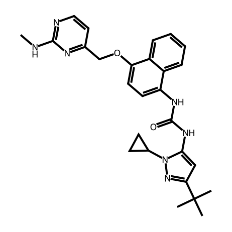 CNc1nccc(COc2ccc(NC(=O)Nc3cc(C(C)(C)C)nn3C3CC3)c3ccccc23)n1